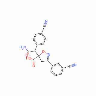 N#Cc1ccc(C(C(N)=O)C2(C(=O)O)CC(c3cccc(C#N)c3)=NO2)cc1